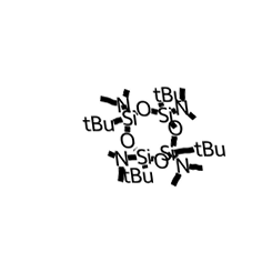 CN(C)[Si]1(C(C)(C)C)O[Si](N(C)C)(C(C)(C)C)O[Si](N(C)C)(C(C)(C)C)O[Si](N(C)C)(C(C)(C)C)O1